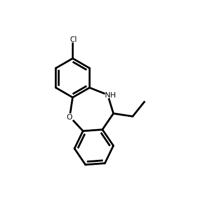 CCC1Nc2cc(Cl)ccc2Oc2ccccc21